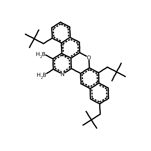 Bc1nc2c3c(cc4cccc(CC(C)(C)C)c4c3c1B)Oc1c-2cc2cc(CC(C)(C)C)ccc2c1CC(C)(C)C